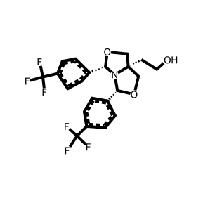 OCC[C@]12CO[C@H](c3ccc(C(F)(F)F)cc3)N1[C@H](c1ccc(C(F)(F)F)cc1)OC2